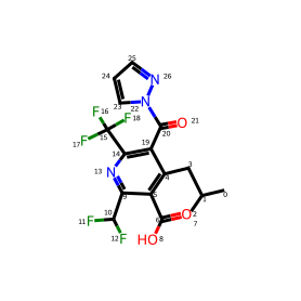 CC(C)Cc1c(C(=O)O)c(C(F)F)nc(C(F)(F)F)c1C(=O)n1cccn1